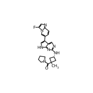 C[C@]1(C(=O)N2CCCC2)C[C@@H](Nc2ncc3c(-c4ccc5ncc(F)n5c4)c[nH]c3n2)C1